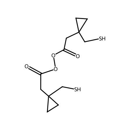 O=C(CC1(CS)CC1)OOC(=O)CC1(CS)CC1